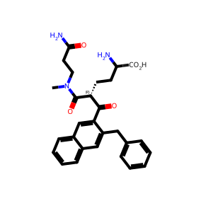 CN(CCC(N)=O)C(=O)[C@H](CCC(N)C(=O)O)C(=O)c1cc2ccccc2cc1Cc1ccccc1